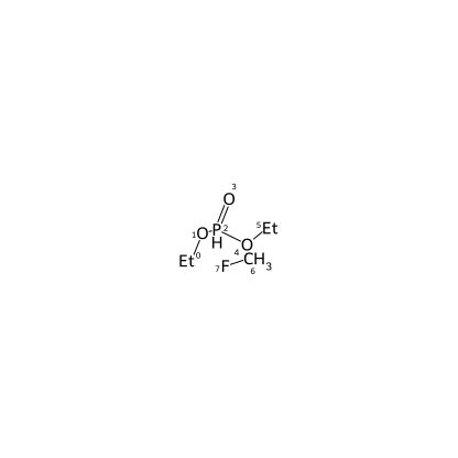 CCO[PH](=O)OCC.CF